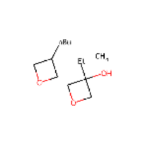 C.CCC1(O)COC1.CCCCC1COC1